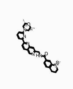 C[C@@H]1CN(c2cccc(-c3ccc4cnc(CNC(=O)c5ccc6c(c5)[S@+]([O-])CCC6)cc4n3)n2)C[C@H](C)O1